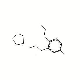 CCOc1ccc(Cl)cc1CNC[C@@H]1CCNC1.Cl